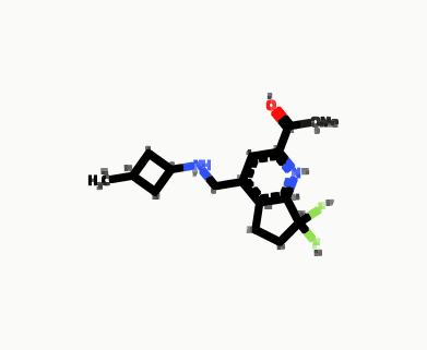 COC(=O)c1cc(CNC2CC(C)C2)c2c(n1)C(F)(F)CC2